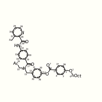 CCCCCCCCOc1ccc(C(=O)Oc2ccc(CN(CC(C)=O)C(=O)c3ccc(NC(=O)c4ncccc4C)cc3)cc2)cc1